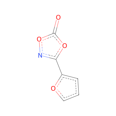 O=c1onc(-c2ccco2)o1